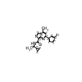 Cc1cc(-c2cccc(F)c2)nc2c(C(=O)N[C@@H](C)C3CC3)ncn12